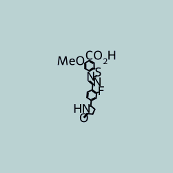 COc1cc2c(cc1C(=O)O)sc1nc(-c3ccc(C4CCC(=O)N4)cc3F)cn12